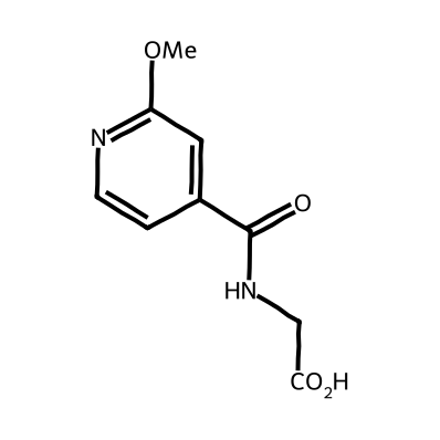 COc1cc(C(=O)NCC(=O)O)ccn1